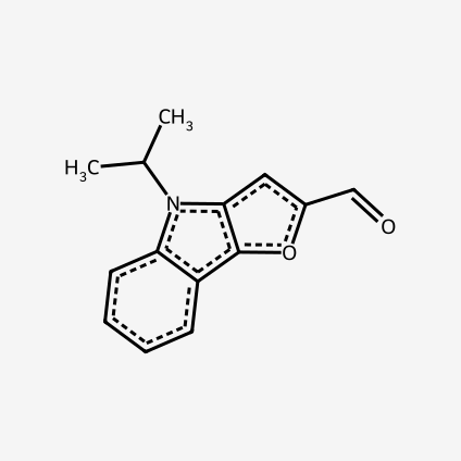 CC(C)n1c2ccccc2c2oc(C=O)cc21